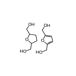 OCC1CCC(CO)O1.OCc1ccc(CO)o1